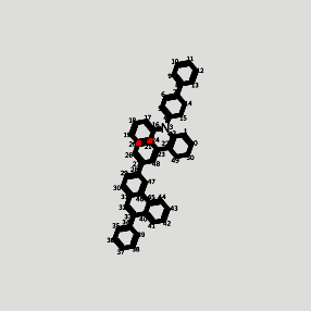 C1=CC(N(C2=CC=C(c3ccccc3)CC2)c2ccccc2)=C(c2cccc(-c3ccc4cc(-c5ccccc5)c5ccccc5c4c3)c2)CC1